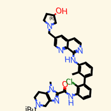 CCC(C)N1CCc2c(nc(C(=O)Nc3cccc(-c4cccc(Nc5nccc6cc(CN7CC[C@@H](O)C7)cnc56)c4C)c3Cl)n2C)C1